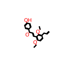 C=CCc1ccc(OCC)c(C=CC(=O)c2ccc(O)cc2)c1OCC